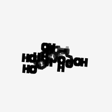 C[C@H](CCC(=O)O)[C@H]1CC[C@H]2[C@@H]3[C@H](O)C[C@@H]4[C@@H](O)[C@H](O)CC[C@]4(C)[C@H]3C[C@H](O)[C@]12C